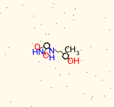 Cc1cc(O)ccc1CCCNc1cccc2c1C(=O)NC2=O